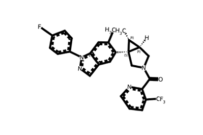 Cc1cc2c(cnn2-c2ccc(F)cc2)cc1[C@@]12CN(C(=O)c3ncccc3C(F)(F)F)C[C@@H]1[C@H]2C